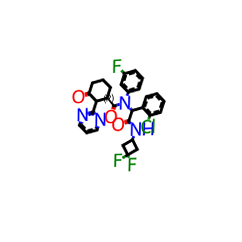 O=C1CCC[C@@H](C(=O)N(c2cccc(F)c2)C(C(=O)NC2CC(F)(F)C2)c2ccccc2Cl)C1c1ncccn1